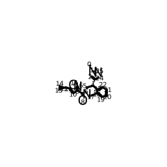 Cn1cc([C@H]2CN(C(=O)c3cc(C4CC4)on3)Cc3ccccc32)cn1